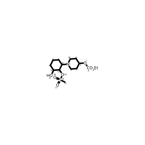 CCOC(=O)OC1CCN(C2CCCC(O)C2OS(C)(=O)=O)CC1